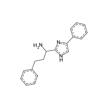 NC(CCc1ccccc1)c1nc(-c2ccccc2)c[nH]1